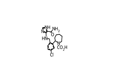 NC(=O)c1[nH]cnc1NCc1ccc(Cl)cc1C1CCCCCN1C(=O)O